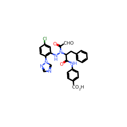 O=CC(=O)N(Nc1cc(Cl)ccc1-n1cncn1)C(Cc1ccccc1)C(=O)Nc1ccc(C(=O)O)cc1